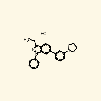 CCc1nn(-c2ccccc2)c2cc(-c3cccc(N4CCCC4)c3)ccc12.Cl